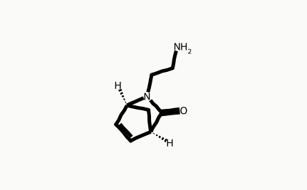 NCCN1C(=O)[C@H]2C=C[C@@H]1C2